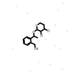 CC(OC1OCCC(Cl)C1Cl)c1ccccc1CC#N